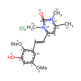 COc1cc(O)c(OC)c(/C=C/c2cc(C)[n+](C)c(=O)n2C)c1.[Cl-]